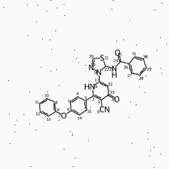 N#Cc1c(-c2ccc(Oc3ccccc3)cc2)[nH]c(N2N=CSC2NC(=O)c2ccccc2)cc1=O